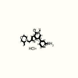 CC1COCCN1Cc1cc2c(=O)n(C)cc(-c3ccnc(N)c3)c2s1.Cl